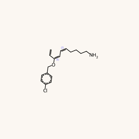 C=C/C(=C\C=C/CCCCN)OCc1ccc(Cl)cc1